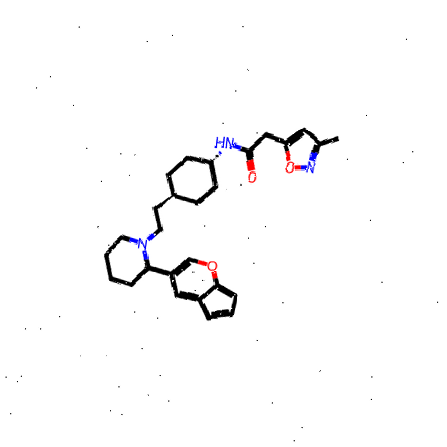 Cc1cc(CC(=O)N[C@H]2CC[C@H](CCN3CCCCC3c3coc4cccc-4c3)CC2)on1